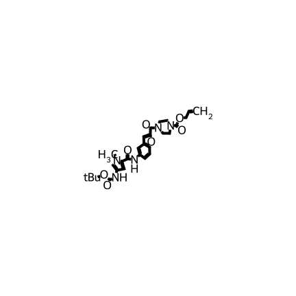 C=CCOC(=O)N1CCN(C(=O)c2cc3cc(NC(=O)c4cc(NC(=O)OC(C)(C)C)cn4C)ccc3o2)CC1